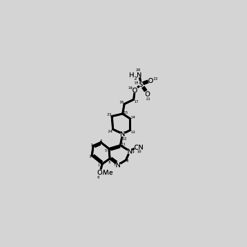 COc1cccc2c1=NCN(C#N)C=2N1CCC(CCOS(N)(=O)=O)CC1